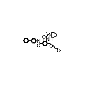 COCCCOCc1ccc(C(=O)Nc2ccc(-c3ccccc3)cc2)cc1NC(=O)[C@H](C)N1CCOCC1